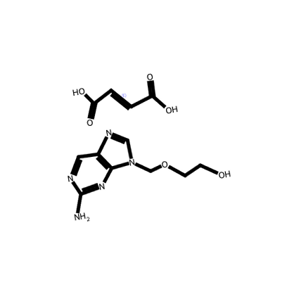 Nc1ncc2ncn(COCCO)c2n1.O=C(O)/C=C/C(=O)O